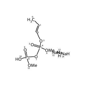 CC=COP(=O)(OC)OP(=O)(O)OC.[NaH].[NaH].[NaH]